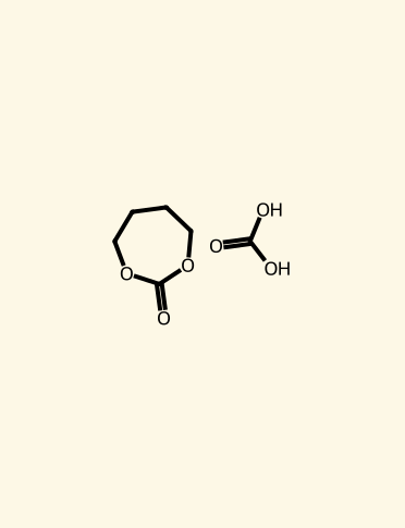 O=C(O)O.O=C1OCCCCO1